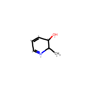 CC1N=CC=CC1O